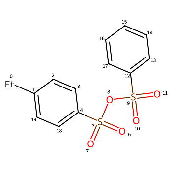 CCc1ccc(S(=O)(=O)OS(=O)(=O)c2ccccc2)cc1